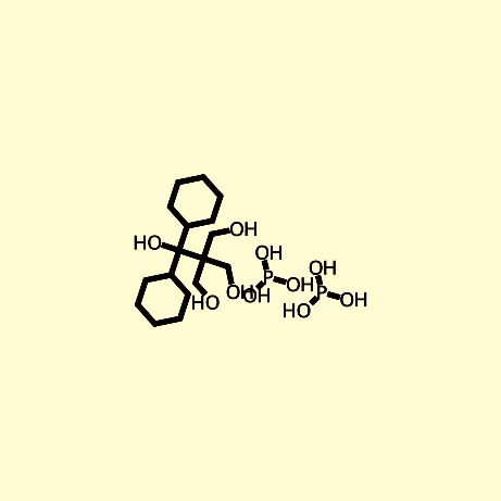 OCC(CO)(CO)C(O)(C1CCCCC1)C1CCCCC1.OP(O)O.OP(O)O